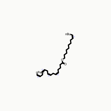 CCCC/C=C\CCCCCCCCOC(=O)CCC/C=C\C/C=C\C/C=C\C/C=C\CCCCC